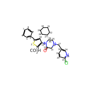 O=C(O)c1sc(-c2ccccc2)cc1N1C(=O)CN(Cc2ccc(Cl)nc2)C[C@H]1C1CCCCC1